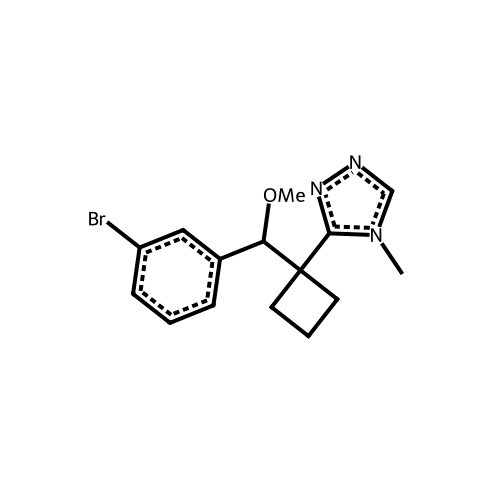 COC(c1cccc(Br)c1)C1(c2nncn2C)CCC1